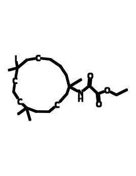 CCOC(=O)C(=O)NC1(C)CCCCCC(C)(I)CCCC(C)(C)CCCC1